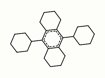 C1CCC(c2c3c(c(C4CCCCC4)c4c2CCCC4)CCCC3)CC1